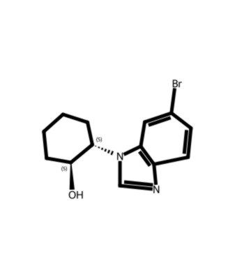 O[C@H]1CCCC[C@@H]1n1cnc2ccc(Br)cc21